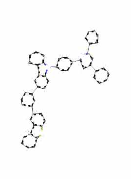 c1ccc(-c2cc(-c3ccccc3)nc(-c3ccc(-n4c5ccccc5c5cc(-c6cccc(-c7ccc8sc9ccccc9c8c7)c6)ccc54)cc3)c2)cc1